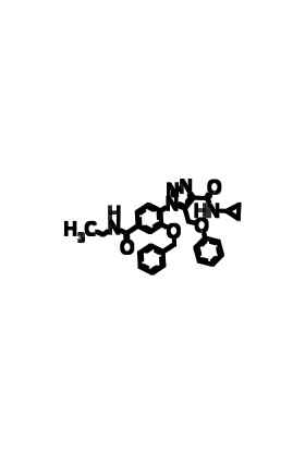 CCNC(=O)c1ccc(-n2nnc(C(=O)NC3CC3)c2COc2ccccc2)c(OCc2ccccc2)c1